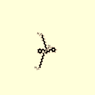 CCCCCCCCCCCn1cc(CC(C)c2ccccc2)[n+](CCCCCCCCCC)c1Cc1ccccc1